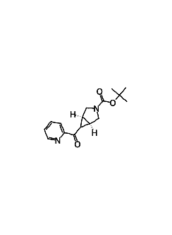 CC(C)(C)OC(=O)N1C[C@@H]2C(C(=O)c3ccccn3)[C@@H]2C1